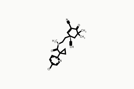 C#C[C@@]1(CCN(C)C(=O)C2(c3ccc(Cl)cn3)CC2)C=C(C#N)C(=O)C(C)(C)C1